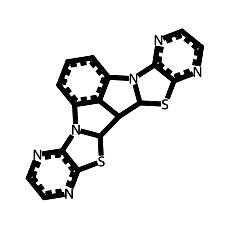 c1cc2c3c(c1)N1c4nccnc4SC1C3C1Sc3nccnc3N21